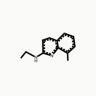 CCNc1ccc2cccc(C)c2n1